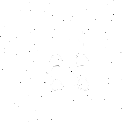 CP(c1ccccc1)c1ccccc1.CP(c1ccccc1)c1ccccc1.[Cl-].[Cl][Ti+]([Cl])[Cl].[Pd].[Pd]